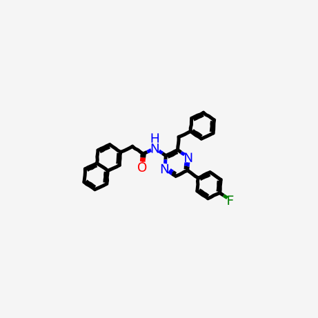 O=C(Cc1ccc2ccccc2c1)Nc1ncc(-c2ccc(F)cc2)nc1Cc1ccccc1